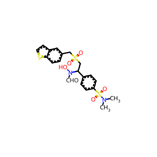 CN(C)S(=O)(=O)c1ccc(C(CS(=O)(=O)Cc2ccc3sccc3c2)N(O)C=O)cc1